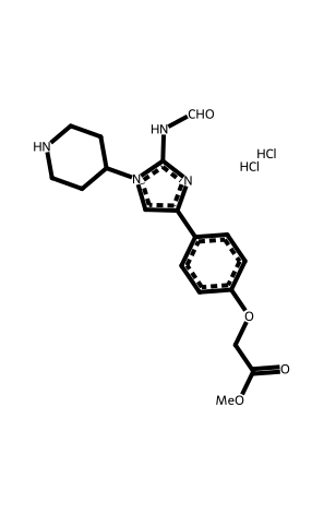 COC(=O)COc1ccc(-c2cn(C3CCNCC3)c(NC=O)n2)cc1.Cl.Cl